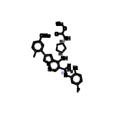 CCc1ccc(F)cc1/N=C(\N)c1cnn2cc(-c3cc(OC)ccc3C)cc2c1N[C@@H]1CC[C@H](NC(=O)OC(C)(C)C)C1